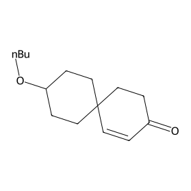 CCCCOC1CCC2(C=CC(=O)CC2)CC1